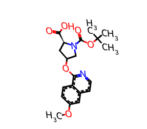 COc1ccc2c(OC3C[C@@H](C(=O)O)N(C(=O)OC(C)(C)C)C3)nccc2c1